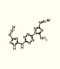 [N-]=[N+]=Nc1n[nH]c(Nc2nnc(-n3nc(N=[N+]=[N-])nc3N)nn2)n1